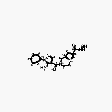 Cc1c(C(=O)N2CCn3cc(C(=O)NO)cc3C2)cnn1-c1ccccc1